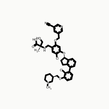 CN1CCC[C@@H](COc2cccc(-c3cccc4c3CC[C@@H]4Oc3cc(OCc4cncc(C#N)c4)c(CN[C@](C)(CO)C(=O)O)cc3Cl)c2Cl)C1